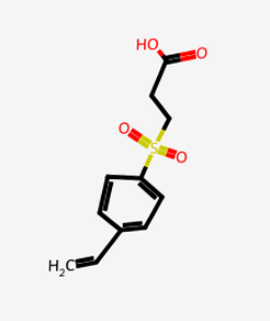 C=Cc1ccc(S(=O)(=O)CCC(=O)O)cc1